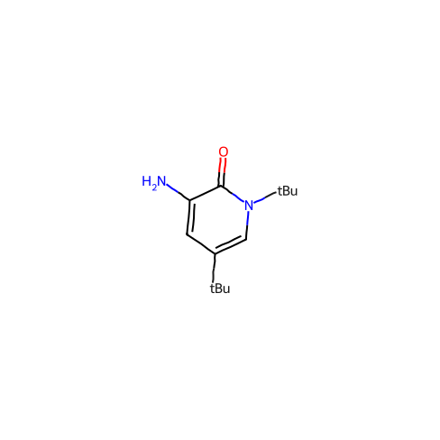 CC(C)(C)c1cc(N)c(=O)n(C(C)(C)C)c1